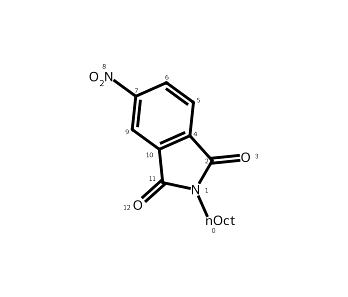 CCCCCCCCN1C(=O)c2ccc([N+](=O)[O-])cc2C1=O